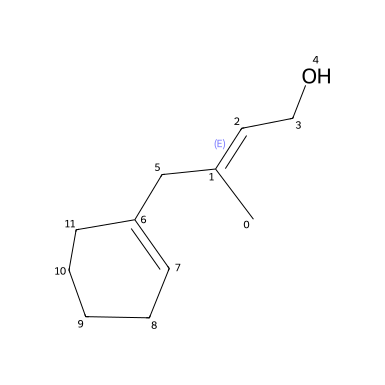 C/C(=C\CO)CC1=CCCCC1